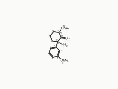 COc1cccc([C@]2(N)CCC[C@@H](OC)C2=O)c1